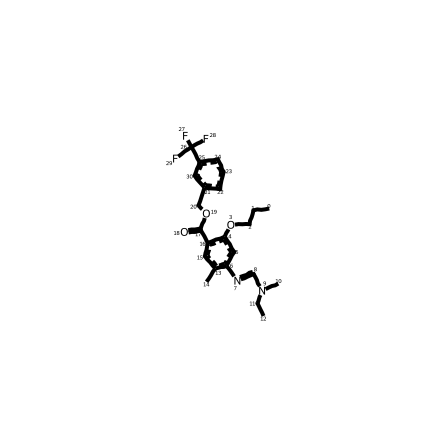 CCCOc1cc(/N=C/N(C)CC)c(C)cc1C(=O)OCc1cccc(C(F)(F)F)c1